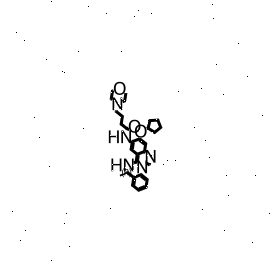 C[C@@H](Nc1ncnc2cc(OC3CCCC3)c(NC(=O)CCCN3CCOCC3)cc12)c1ccccc1